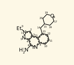 CCn1cc2c(n1)c(N)nc1cccc(CC3CCOCC3)c12